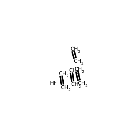 C=C.C=C.C=C.C=C.F